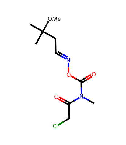 COC(C)(C)CC=NOC(=O)N(C)C(=O)CCl